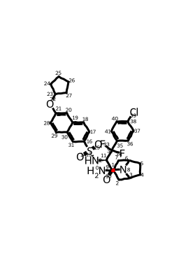 NC1CC2CCC(C1)N2C(=O)[C@@H](NS(=O)(=O)c1ccc2cc(OC3CCCC3)ccc2c1)C(F)(F)c1ccc(Cl)cc1